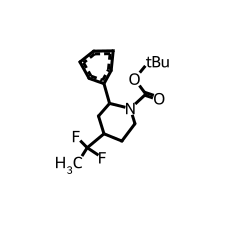 CC(C)(C)OC(=O)N1CCC(C(C)(F)F)CC1c1ccccc1